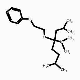 CC(C)CCC(CC(C)C)(OCCOc1ccccc1)N(C)C